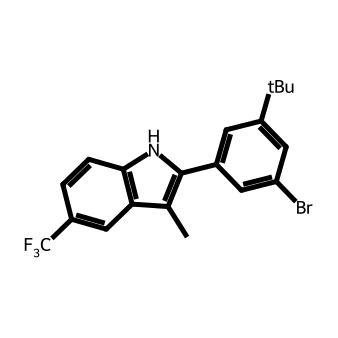 Cc1c(-c2cc(Br)cc(C(C)(C)C)c2)[nH]c2ccc(C(F)(F)F)cc12